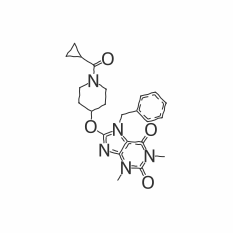 Cn1c(=O)c2c(nc(OC3CCN(C(=O)C4CC4)CC3)n2Cc2ccccc2)n(C)c1=O